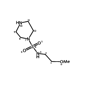 COCCNS(=O)(=O)N1CCNCC1